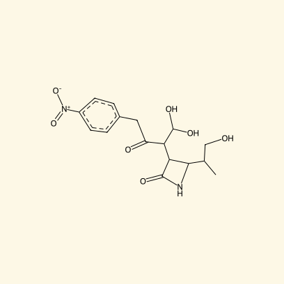 CC(CO)C1NC(=O)C1C(C(=O)Cc1ccc([N+](=O)[O-])cc1)C(O)O